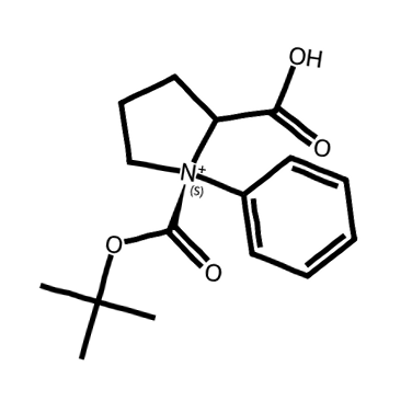 CC(C)(C)OC(=O)[N@@+]1(c2ccccc2)CCCC1C(=O)O